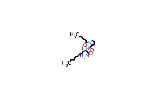 CCCCCCCCC(NC(=O)C1CCCN1C(=O)CCCCC)C(N)=O